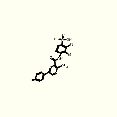 CCc1c(NC(=O)c2nc(-c3ccc(C)cc3)cnc2N)ccc(P(=O)(O)O)c1CC